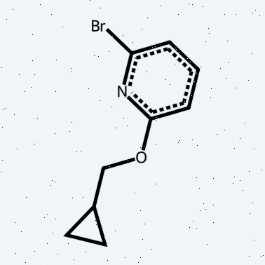 Brc1cccc(OCC2CC2)n1